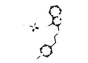 COS(=O)(=O)[O-].C[n+]1ccc(CCNc2nn3ccccc3c2[N+](=O)[O-])cc1